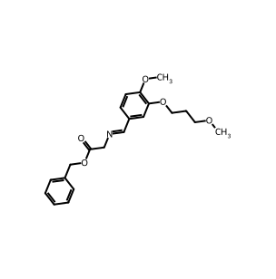 COCCCOc1cc(/C=N/CC(=O)OCc2ccccc2)ccc1OC